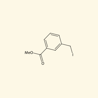 COC(=O)c1cccc(CI)c1